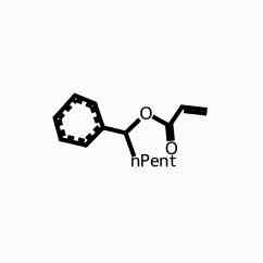 C=CC(=O)OC(CCCCC)c1ccccc1